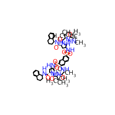 CN[C@@H](C)C(=O)N[C@H](C(=O)N1C[C@@H](NS(=O)(=O)c2ccc3ccc(S(=O)(=O)N[C@H]4C[C@@H](C(=O)N[C@@H]5CCCc6ccccc65)N(C(=O)[C@@H](NC(=O)[C@H](C)NC)C(C)(C)C)C4)cc3c2)C[C@H]1C(=O)NC1CCCc2ccccc21)C(C)(C)C